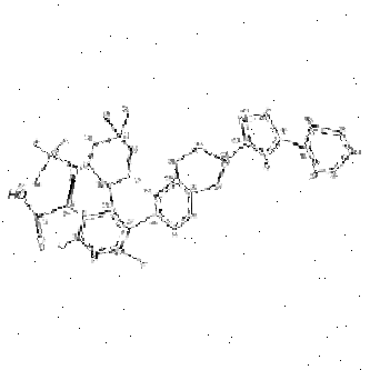 Cc1nc(C)c([C@H](OC(C)(C)C)C(=O)O)c(N2CCC(C)(C)CC2)c1-c1ccc2c(c1)CCN(c1ncc(-c3ccccc3)s1)C2